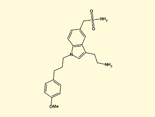 COc1ccc(CCCn2cc(CCN)c3cc(CS(N)(=O)=O)ccc32)cc1